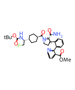 COC(=O)c1cccnc1-c1ccccc1[C@H]1CCN(C(=O)[C@H]2CC[C@H](C(CF)NC(=O)OC(C)(C)C)CC2)[C@@H]1C(N)=O